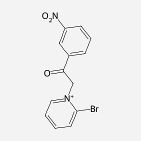 O=C(C[n+]1ccccc1Br)c1cccc([N+](=O)[O-])c1